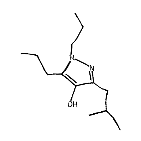 CCCc1c(O)c(CC(C)C)nn1CCC